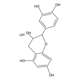 Oc1cc(O)c2c(c1)OC(c1ccc(O)c(O)c1)C(O)C2.[LiH]